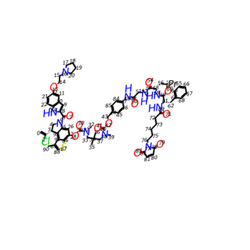 C=C(Cl)[C@@H]1CN(C(=O)c2cc3cc(OCCN4CCCC4)ccc3[nH]2)c2cc(OC(=O)N(C)CC(C)(C)CN(C)C(=O)OCc3ccc(NC(=O)CNC(=O)[C@H](CC(C)C)NC(=O)[C@H](Cc4ccccc4)NC(=O)CCCCCN4C(=O)C=CC4=O)cc3)c3scc(C)c3c21